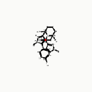 Cc1cn(C)nc1C(=O)N1[C@@H]2CCC[C@H]1c1nn(C)c(-c3ccc(F)cc3)c1C2